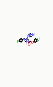 C[C@@H]1CN(Cc2ccc(F)cc2)[C@H](CN2CCNCC2)CN1C(=O)COc1ccc(Cl)cc1